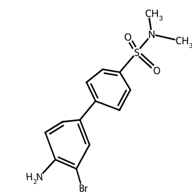 CN(C)S(=O)(=O)c1ccc(-c2ccc(N)c(Br)c2)cc1